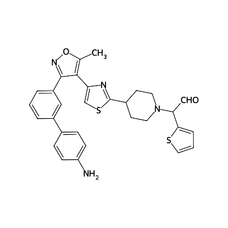 Cc1onc(-c2cccc(-c3ccc(N)cc3)c2)c1-c1csc(C2CCN(C(C=O)c3cccs3)CC2)n1